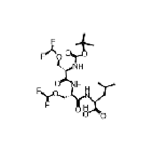 CC(C)C[C@H](NC(=O)[C@H](COC(F)F)NC(=O)[C@H](COC(F)F)NC(=O)OC(C)(C)C)C(=O)O